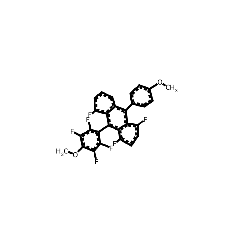 COc1ccc(-c2c3cccc(F)c3c(-c3c(F)c(F)c(OC)c(F)c3F)c3c(F)ccc(F)c23)cc1